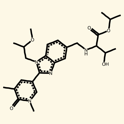 COC(C)Cn1c(-c2cc(C)c(=O)n(C)c2)nc2cc(CNC(C(=O)OC(C)C)C(C)O)ccc21